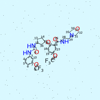 O=C(Nc1cccc(OC(F)(F)F)c1)NC1CCC(Oc2ccc(OC(F)(F)F)cc2C(=O)NCCN2CCOCC2)C1